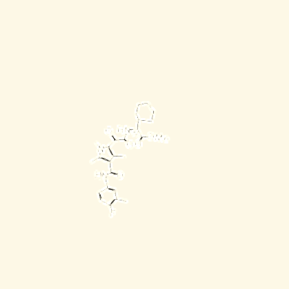 COC(=O)[C@@H](NC(=O)C(=O)c1c(C)c(C(=O)Nc2ccc(F)c(C)c2)c(C)n1C)C1CCCCC1